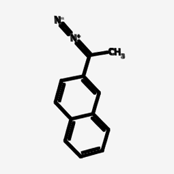 CC(=[N+]=[N-])c1ccc2ccccc2c1